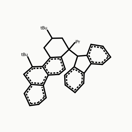 CC(C)C1(C2c3ccccc3-c3ccccc32)CC(C(C)(C)C)Cc2c1ccc1c2c(C(C)(C)C)cc2ccccc21